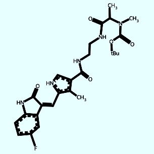 Cc1c(C(=O)NCCNC(=O)C(C)N(C)C(=O)OC(C)(C)C)c[nH]c1C=C1C(=O)Nc2ccc(F)cc21